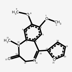 COc1cc2c(cc1OC)N(C)C(=O)CN=C2c1ccco1